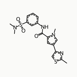 Cc1nc(-c2cc(C(=O)Nc3cccc(S(=O)(=O)N(C)C)c3)n(C)c2)cs1